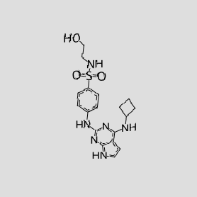 O=S(=O)(NCCO)c1ccc(Nc2nc(NC3CCC3)c3cc[nH]c3n2)cc1